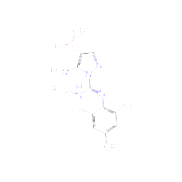 CC(=O)ONC(=Nc1c(Cl)cc(C(F)(F)F)cc1Cl)n1ncc([S+](C)[O-])c1N